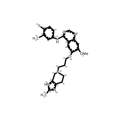 COc1cc2ncnc(Nc3ccc(F)c(C)c3)c2cc1OCCCN1CCc2nc(C)[nH]c2C1